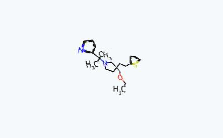 CCOCC1(CCc2cccs2)CCN(C(C)(C)c2cccnc2)C1